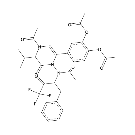 CC(=O)Oc1ccc(C2=CN(C(C)=O)C(C(C)C)C(=O)N2N(C(C)=O)C(Cc2ccccc2)C(=O)C(F)(F)F)cc1OC(C)=O